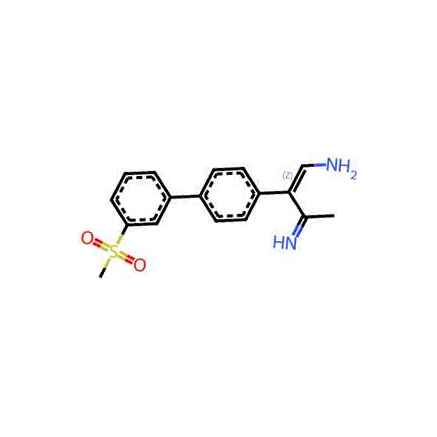 CC(=N)/C(=C\N)c1ccc(-c2cccc(S(C)(=O)=O)c2)cc1